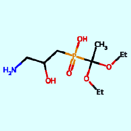 CCOC(C)(OCC)P(=O)(O)CC(O)CN